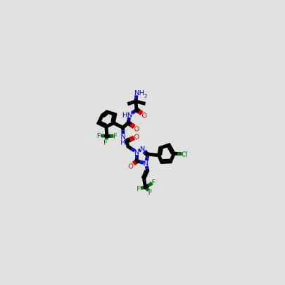 CC(C)(N)C(=O)NC(=O)C(NC(=O)Cn1nc(-c2ccc(Cl)cc2)n(/C=C/C(F)(F)F)c1=O)c1ccccc1C(F)(F)F